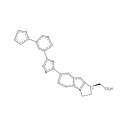 O=C(O)C[C@H]1CCn2c1cc1cc(-c3noc(-c4cncc(-c5cccs5)c4)n3)ccc12